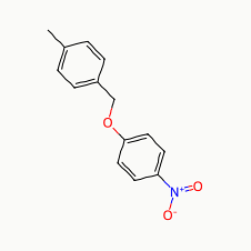 Cc1ccc(COc2ccc([N+](=O)[O-])cc2)cc1